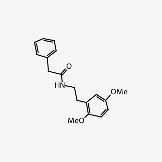 COc1ccc(OC)c(CCNC(=O)Cc2ccccc2)c1